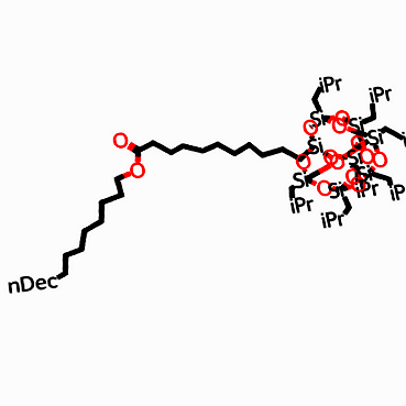 CCCCCCCCCCCCCCCCCCOC(=O)CCCCCCCCCC[Si]12O[Si]3(CC(C)C)O[Si]4(CC(C)C)O[Si](CC(C)C)(O1)O[Si]1(CC(C)C)O[Si](CC(C)C)(O2)O[Si](CC(C)C)(O3)O[Si](CC(C)C)(O4)O1